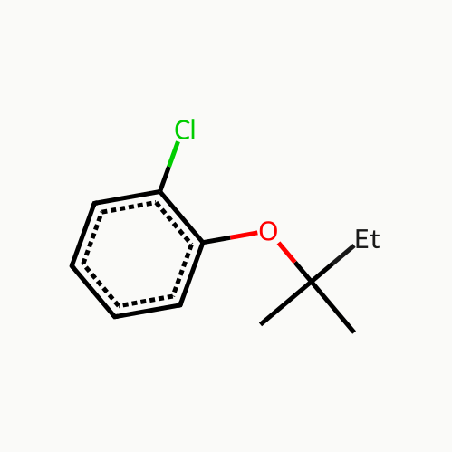 CCC(C)(C)Oc1ccccc1Cl